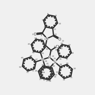 CC(CN1C(=O)c2ccccc2C1=O)N([Si](c1ccccc1)(c1ccccc1)c1ccccc1)[Si](c1ccccc1)(c1ccccc1)c1ccccc1